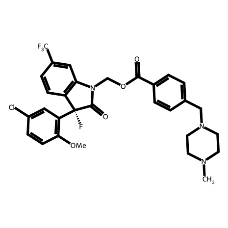 COc1ccc(Cl)cc1[C@]1(F)C(=O)N(COC(=O)c2ccc(CN3CCN(C)CC3)cc2)c2cc(C(F)(F)F)ccc21